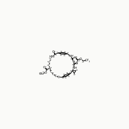 CC(C)(C)OC(=O)N1CCCNC(=O)c2ccc(cc2)Nc2nc(nc(OCC(F)(F)F)n2)NC2(CC2)c2ccc(cc2)OCCC1